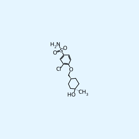 C[C@]1(O)CC[C@@H](COc2ccc(S(N)(=O)=O)cc2Cl)CC1